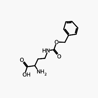 NC(CCNC(=O)OCc1ccccc1)C(=O)O